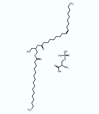 CCCCCCCC/C=C\CCCCCCCC(=O)OC(CO)COC(=O)CCCCCCCCCCCCCCC.NC(COP(=O)(O)O)C(=O)O